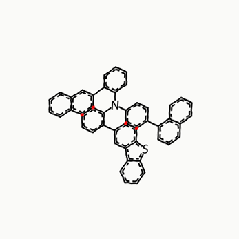 c1ccc(N(c2ccc(-c3cccc4ccccc34)cc2)c2ccccc2-c2ccc3sc4ccccc4c3c2)c(-c2ccc3ccccc3c2)c1